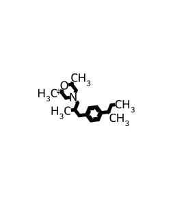 CCC(C)c1ccc(CC(C)CN2CC(C)O[C@@H](C)C2)cc1